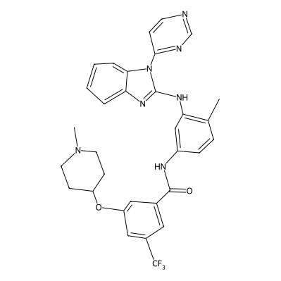 Cc1ccc(NC(=O)c2cc(OC3CCN(C)CC3)cc(C(F)(F)F)c2)cc1Nc1nc2ccccc2n1-c1ccncn1